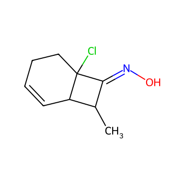 CC1C(=NO)C2(Cl)CCC=CC12